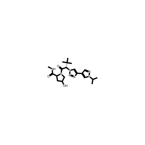 CNC(=O)C1CC(O)CN1C(=O)[C@@H](n1cc(-c2cnn(C(C)C)c2)nn1)C(C)(C)C